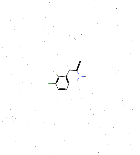 C=C([C@@H](N)c1cccc(Cl)c1F)N(C)C